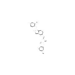 O=C(O)c1cccc(CN2C(=O)SC(=Cc3ccc4c(cnn4Cc4ccc(Cl)cc4C(F)(F)F)c3)C2=O)c1